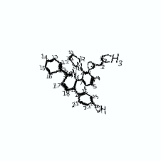 CCOc1cccc(-c2nc(-c3ccccc3)ccc2-c2ccc(O)cc2)c1N1CCCC1